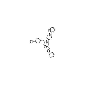 Clc1ccc(CC2COC(COc3ccccc3)CN2C2CCN(c3ccccn3)CC2)cc1